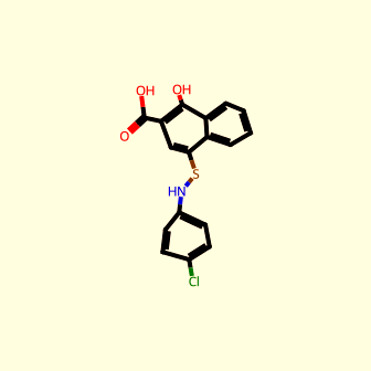 O=C(O)c1cc(SNc2ccc(Cl)cc2)c2ccccc2c1O